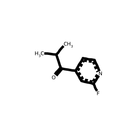 CC(C)C(=O)c1ccnc(F)c1